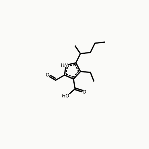 CCCC(C)c1[nH]c(C=O)c(C(=O)O)c1CC